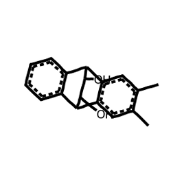 Cc1cc2c(cc1C)C1c3ccccc3C2C(O)C1O